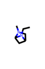 CCN1C2CC1N(C)C2